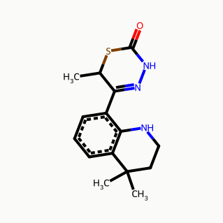 CC1SC(=O)NN=C1c1cccc2c1NCCC2(C)C